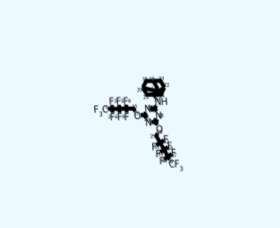 FC(F)(F)C(F)(F)C(F)(F)C(F)(F)COc1nc(NC23CC4CC(CC(C4)C2)C3)nc(OCC(F)(F)C(F)(F)C(F)(F)C(F)(F)F)n1